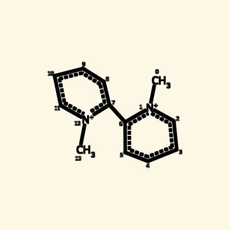 C[n+]1ccccc1-c1cccc[n+]1C